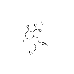 CCSC(C)CC1CC(=O)CC(=O)C1C(=O)OC